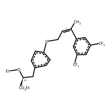 CCOC(=O)[C@H](Cc1ccc(OC/C=C(/C)c2cc(C(F)(F)F)cc(C(F)(F)F)c2)cc1)OCC